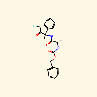 C[C@H](NC(=O)OCc1ccccc1)C(=O)NC(C)(C(=O)CF)c1ccccc1